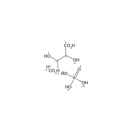 O=C(O)C(O)C(O)C(=O)O.O=P(O)(O)O.[H+]